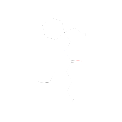 CCCC(CCC)C(=O)NCC1(CC)CCCCC1